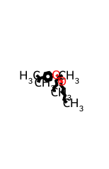 C=C(C)c1ccc(OC(C)(CCCC)OCCCCCC)cc1